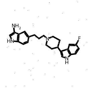 Nc1c[nH]c2ccc(CCCN3CCC(c4c[nH]c5ccc(F)cc45)CC3)cc12